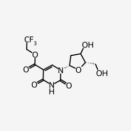 O=C(OCC(F)(F)F)c1cn([C@@H]2CC(O)[C@H](CO)O2)c(=O)[nH]c1=O